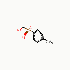 COc1ccc(S(=O)(=O)CO)cc1